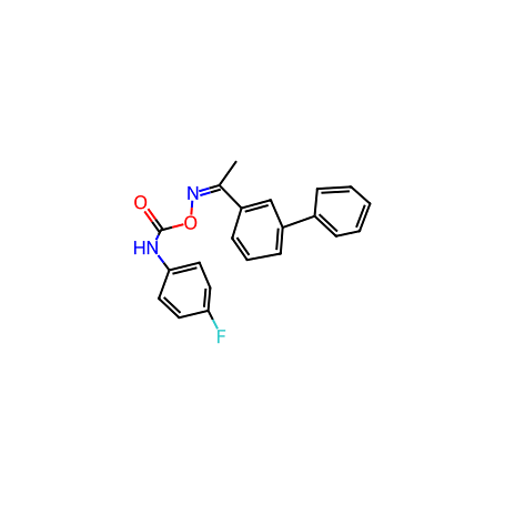 CC(=NOC(=O)Nc1ccc(F)cc1)c1cccc(-c2ccccc2)c1